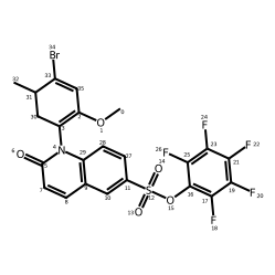 COC1=C(n2c(=O)ccc3cc(S(=O)(=O)Oc4c(F)c(F)c(F)c(F)c4F)ccc32)CC(C)C(Br)=C1